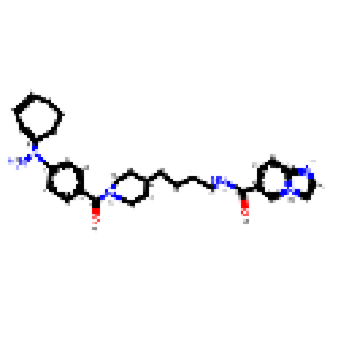 NN(C1=CC=CCCC1)c1ccc(C(=O)N2CCC(CCCCNC(=O)c3ccc4nccn4c3)CC2)cc1